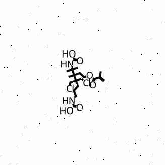 C=C(C)C(=O)OCCC(C)(C(CCl)(CCl)CCCNC(=O)O)C(C)(C)NC(=O)O